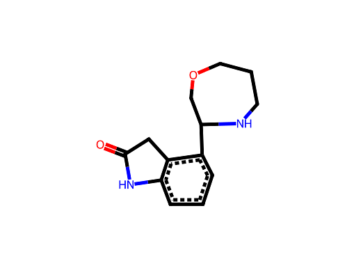 O=C1Cc2c(cccc2C2COCCCN2)N1